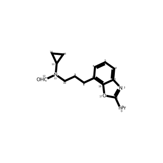 CCCc1nc2cccc(CCCN(C=O)C3CC3)c2o1